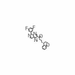 CN(C)c1c(C(=O)CCC[C@H]2CCOc3ccccc32)cnc2c(-c3cc(F)cc(F)c3)nccc12